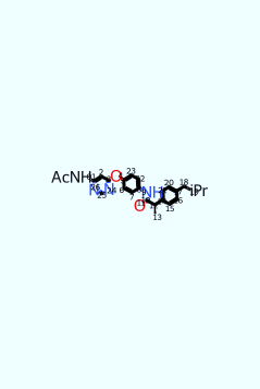 CC(=O)Nc1cc(Oc2ccc(NC(=O)[C@H](C)c3ccc(CC(C)C)cc3)cc2)ncn1